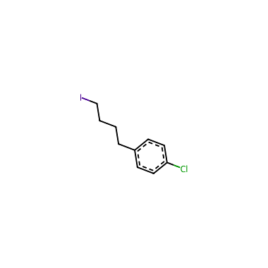 Clc1ccc(CCCCI)cc1